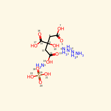 N.N.N.N.N.O=C(O)CC(O)(CC(=O)O)C(=O)O.O=S(=O)(O)O